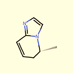 C[C@@H]1CC=Cc2nccn21